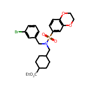 CCOC(=O)C1CCC(CN(Cc2cccc(Br)c2)S(=O)(=O)c2ccc3c(c2)OCCO3)CC1